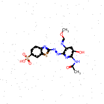 COC=Nc1cc(O)c(NC(C)=O)nc1N=Nc1nc2ccc(S(=O)(=O)O)cc2s1